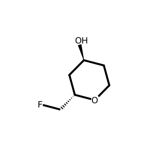 O[C@H]1CCO[C@H](CF)C1